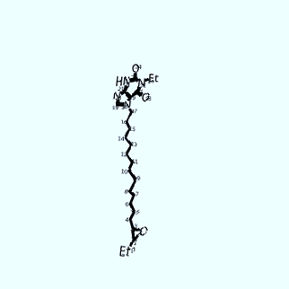 CCC1OC1CCCCCCCCCCCCCCn1cnc2[nH]c(=O)n(CC)c(=O)c21